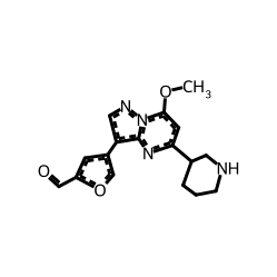 COc1cc(C2CCCNC2)nc2c(-c3coc(C=O)c3)cnn12